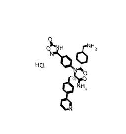 Cl.NC[C@H]1CC[C@H](C(=O)N(c2ccc(-c3noc(=O)[nH]3)cc2)[C@@H](Cc2ccc(-c3cccnc3)cc2)C(N)=O)CC1